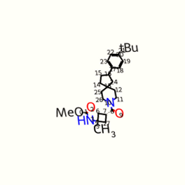 COC(=O)N[C@]1(C)C[C@H](C(=O)N2CCC3(CCC(c4ccc(C(C)(C)C)cc4)C3)CC2)C1